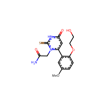 COc1ccc(OCCO)c(-c2cc(=O)[nH]c(=S)n2CC(N)=O)c1